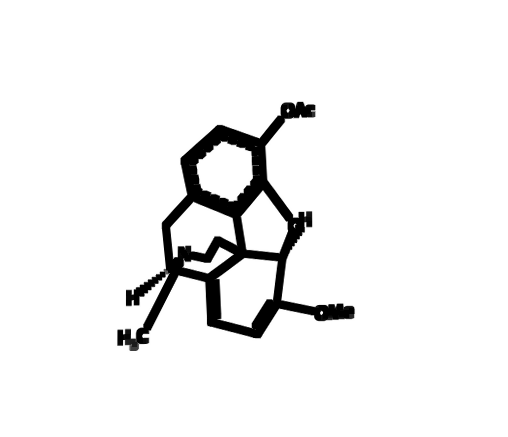 COC1=CC=C2[C@H]3Cc4ccc(OC(C)=O)c5c4C2(CCN3C)[C@H]1O5